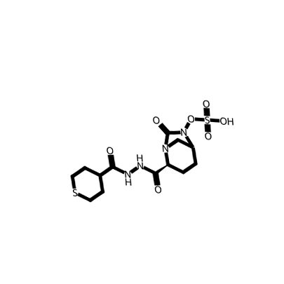 O=C(NNC(=O)[C@@H]1CCC2CN1C(=O)N2OS(=O)(=O)O)C1CCSCC1